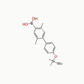 Cc1cc(-c2ccc(O[Si](C)(C)C(C)(C)C)cc2)c(C)cc1B(O)O